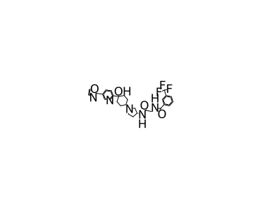 O=C(CNC(=O)c1cccc(C(F)(F)F)c1)N[C@@H]1CCN(C2CCC(O)(c3ccc(-c4ncco4)cn3)CC2)C1